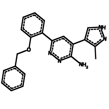 Cc1n[nH]cc1-c1cc(-c2ccccc2OCc2ccccc2)nnc1N